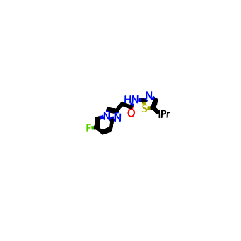 CC(C)c1cnc(NC(=O)Cc2cn3cc(F)ccc3n2)s1